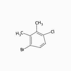 Cc1c(Cl)ccc(Br)c1C